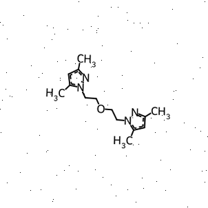 Cc1cc(C)n(CCOCCn2nc(C)cc2C)n1